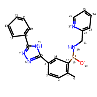 Cc1ccc(-c2nnc(-c3ccccc3)[nH]2)cc1[S+]([O-])NCc1ccccn1